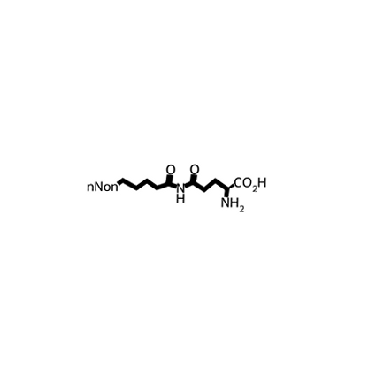 CCCCCCCCCCCCCC(=O)NC(=O)CC[C@H](N)C(=O)O